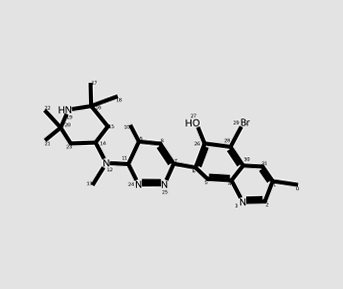 Cc1cnc2cc(C3=CC(C)C(N(C)C4CC(C)(C)NC(C)(C)C4)N=N3)c(O)c(Br)c2c1